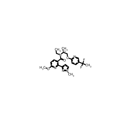 CCN(C(=O)c1ccc(OC)nc1-c1ccn(C)n1)[C@@H](C)COc1ccc(C(C)(F)F)cn1